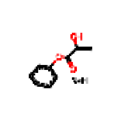 C=C(O)C(=O)Oc1ccccc1.[NaH]